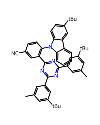 Cc1cc(-c2nc(-c3cc(C)cc(C(C)(C)C)c3)nc(-c3cc(C#N)ccc3-n3c4ccccc4c4cc(C(C)(C)C)ccc43)n2)cc(C(C)(C)C)c1